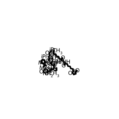 CC[C@H](C)[C@@H]([C@@H](CC(=O)N1CCC[C@H]1[C@H](OC)[C@@H](C)C(=O)N[C@@H](Cc1c[nH]c2ccccc12)C(N)=O)OC)N(C)C(=O)[C@@H](NC(=O)[C@H](C(C)C)N(C)CCCCCC(=O)NNC(=O)CCCCCN1C(=O)C=CC1=O)C(C)C